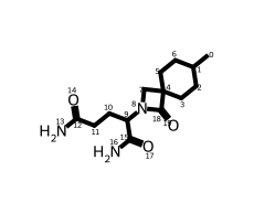 CC1CCC2(CC1)CN(C(CCC(N)=O)C(N)=O)C2=O